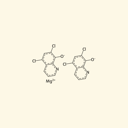 [Mg+2].[O-]c1c(Cl)cc(Cl)c2cccnc12.[O-]c1c(Cl)cc(Cl)c2cccnc12